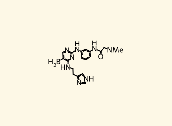 Bc1cnc(Nc2cccc(NC(=O)CNC)c2)nc1NCCc1c[nH]cn1